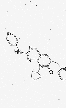 O=c1c(Cc2ccccn2)cc2cnc(Nc3ccccc3)nc2n1C1CCCC1